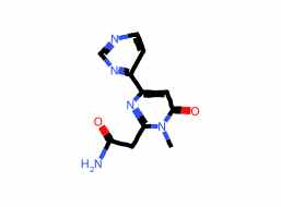 Cn1c(CC(N)=O)nc(-c2ccncn2)cc1=O